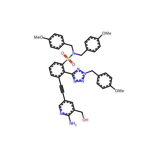 COc1ccc(CN(Cc2ccc(OC)cc2)S(=O)(=O)c2cccc(C#Cc3cnc(N)c(CO)c3)c2-c2nnn(Cc3ccc(OC)cc3)n2)cc1